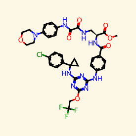 COC(=O)[C@H](CNC(=O)C(=O)Nc1ccc(N2CCOCC2)cc1)NC(=O)c1ccc(Nc2nc(NC3(c4ccc(Cl)cc4)CC3)nc(OCC(F)(F)F)n2)cc1